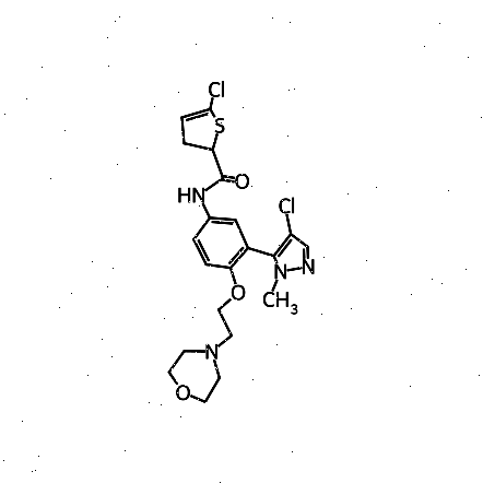 Cn1ncc(Cl)c1-c1cc(NC(=O)C2CC=C(Cl)S2)ccc1OCCN1CCOCC1